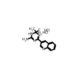 CC1(C)N=C(c2cnc3ccccc3c2)N=C(N)N1.Cl.Cl